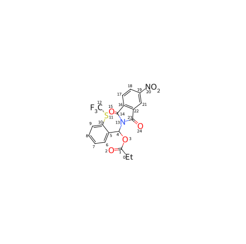 CCC(=O)OC(c1ccccc1SC(F)(F)F)N1C(=O)c2ccc([N+](=O)[O-])cc2C1=O